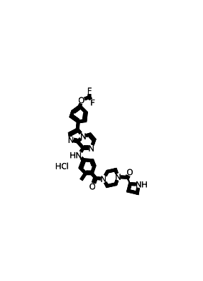 Cc1cc(Nc2nccn3c(-c4ccc(OC(F)F)cc4)cnc23)ccc1C(=O)N1CCN(C(=O)[C@@H]2CCN2)CC1.Cl